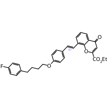 CCOC(=O)c1cc(=O)c2cccc(/C=C/c3ccc(OCCCCc4ccc(F)cc4)cc3)c2o1